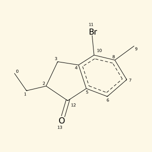 CCC1Cc2c(ccc(C)c2Br)C1=O